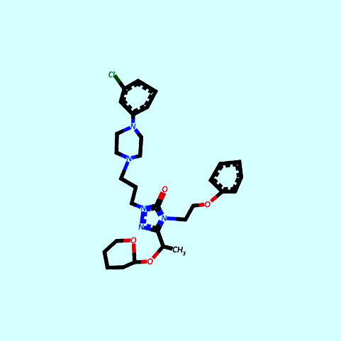 CC(OC1CCCCO1)c1nn(CCCN2CCN(c3cccc(Cl)c3)CC2)c(=O)n1CCOc1ccccc1